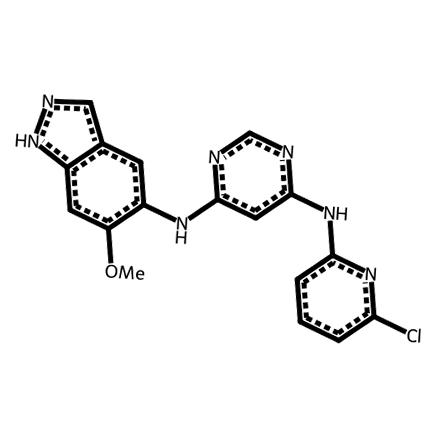 COc1cc2[nH]ncc2cc1Nc1cc(Nc2cccc(Cl)n2)ncn1